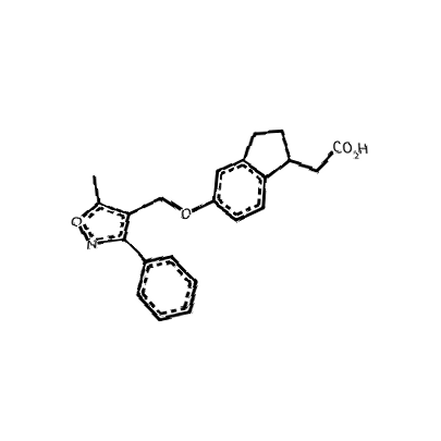 Cc1onc(-c2ccccc2)c1COc1ccc2c(c1)CCC2CC(=O)O